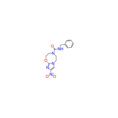 O=C(NCc1ccccc1)N1CCOc2nc([N+](=O)[O-])cn2CC1